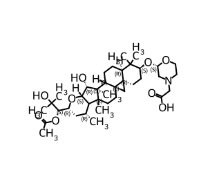 CC(=O)O[C@@H]([C@H]1C[C@@H](C)C2[C@H](O1)[C@H](O)[C@@]1(C)[C@@H]3CC[C@H]4C(C)(C)[C@@H](O[C@H]5CN(CC(=O)O)CCO5)CC[C@@]45C[C@@]35CC[C@]21C)C(C)(C)O